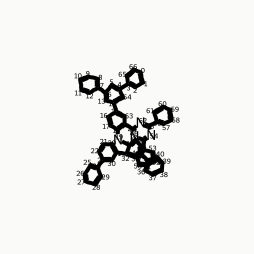 c1ccc(-c2cc(-c3ccccc3)cc(-c3ccc(-n4c5ccc(-c6ccccc6)cc5c5cc(-c6ccccc6)ccc54)c(-c4nc(-c5ccccc5)nc(-c5ccccc5)n4)c3)c2)cc1